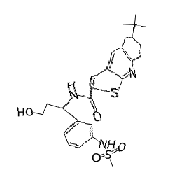 CC(C)(C)[C@H]1CCc2nc3sc(C(=O)NC(CCO)c4cccc(NS(C)(=O)=O)c4)cc3cc2C1